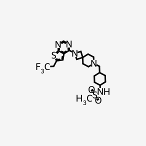 CS(=O)(=O)NC1CCC(CN2CCC3(CC2)CN(c2ncnc4sc(CC(F)(F)F)cc24)C3)CC1